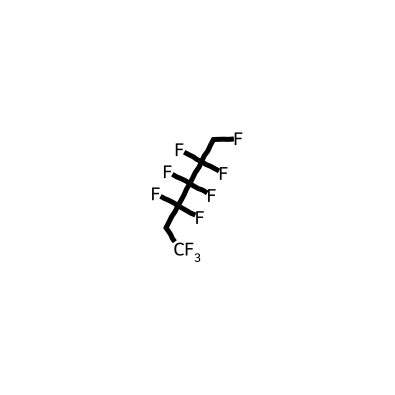 FCC(F)(F)C(F)(F)C(F)(F)CC(F)(F)F